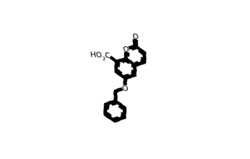 O=C(O)c1cc(OCc2ccccc2)cc2ccc(=O)oc12